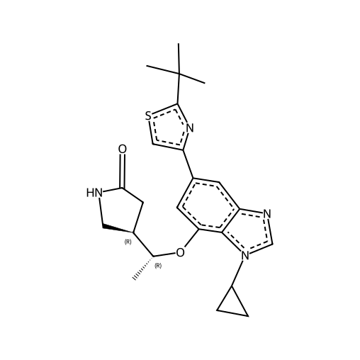 C[C@@H](Oc1cc(-c2csc(C(C)(C)C)n2)cc2ncn(C3CC3)c12)[C@H]1CNC(=O)C1